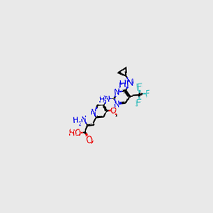 COc1cc(CC(N)C(=O)O)ncc1Nc1ncc(C(F)(F)F)c(NC2CC2)n1